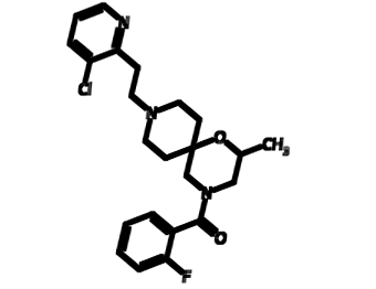 CC1CN(C(=O)c2ccccc2F)CC2(CCN(CCc3ncccc3Cl)CC2)O1